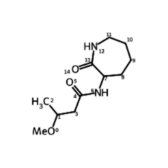 COC(C)CC(=O)NC1CCCCNC1=O